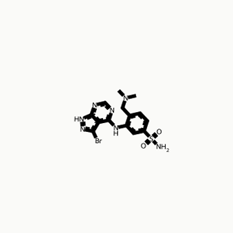 CN(C)Cc1ccc(S(N)(=O)=O)cc1Nc1ncnc2[nH]nc(Br)c12